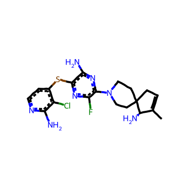 CC1=CCC2(CCN(c3nc(N)c(Sc4ccnc(N)c4Cl)nc3F)CC2)[C@@H]1N